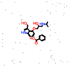 CC(C)NCC(O)COc1cccc2[nH]cc(CO)c12.O=C(O)c1ccccc1